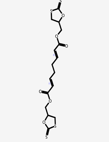 O=C(/C=C/CC/C=C/C(=O)OCC1CSC(=S)O1)OCC1CSC(=S)O1